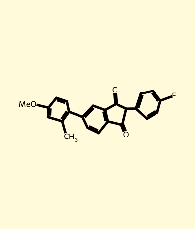 COc1ccc(-c2ccc3c(c2)C(=O)C(c2ccc(F)cc2)C3=O)c(C)c1